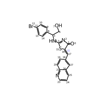 O=C1N=C(NC(CO)c2ccc(Br)cc2)S/C1=C\c1ccc2ncccc2c1